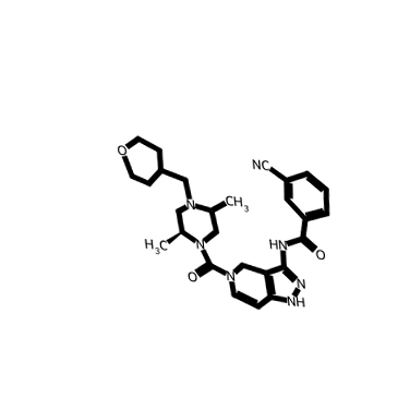 CC1CN(C(=O)N2C=Cc3[nH]nc(NC(=O)c4cccc(C#N)c4)c3C2)[C@@H](C)CN1CC1CCOCC1